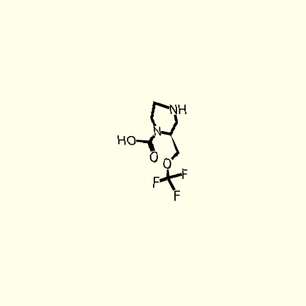 O=C(O)N1CCNC[C@H]1COC(F)(F)F